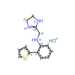 Cl.c1csc(-c2ccccc2NCC2=NCCN2)c1